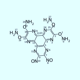 NOc1nc2c3nc(N=O)c(N=O)nc3c3nc(ON)c(ON)nc3c2nc1ON